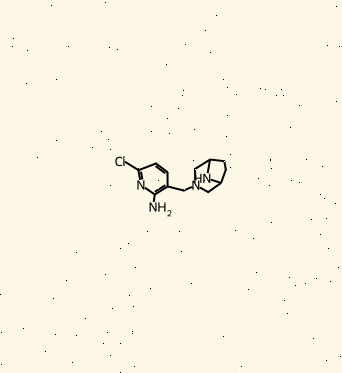 Nc1nc(Cl)ccc1CN1CC2CCC(C1)N2